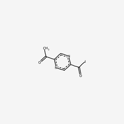 CC(=O)c1cnc(C(=O)I)cn1